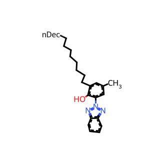 CCCCCCCCCCCCCCCCCCc1cc(C)cc(-n2nc3ccccc3n2)c1O